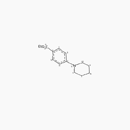 CCOC(=O)c1ccc(N2CCCCC2)cc1